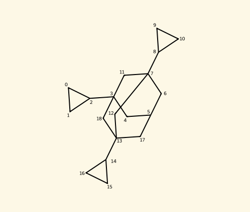 C1CC1C12CC3CC(C4CC4)(C1)CC(C1CC1)(C3)C2